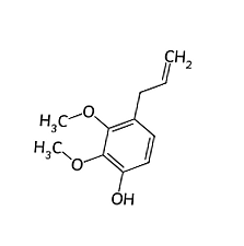 C=CCc1ccc(O)c(OC)c1OC